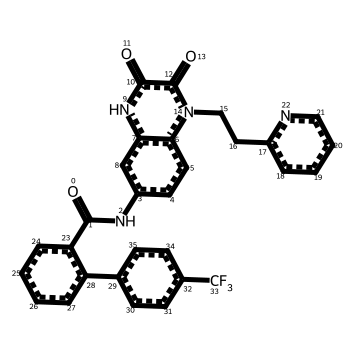 O=C(Nc1ccc2c(c1)[nH]c(=O)c(=O)n2CCc1ccccn1)c1ccccc1-c1ccc(C(F)(F)F)cc1